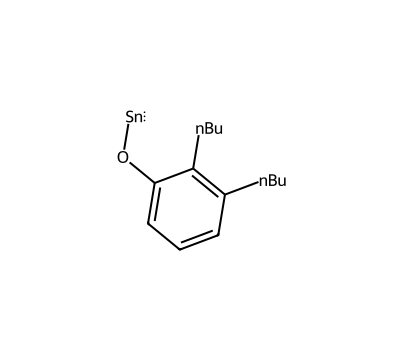 CCCCc1cccc([O][Sn])c1CCCC